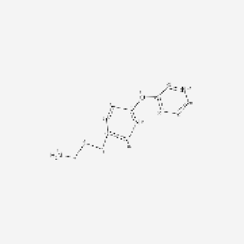 NCCCc1ccc(Oc2cccnc2)nn1